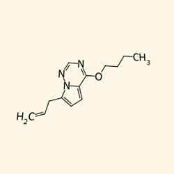 C=CCc1ccc2c(OCCCC)ncnn12